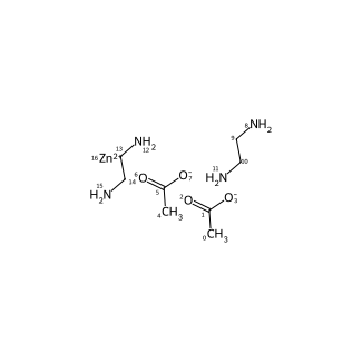 CC(=O)[O-].CC(=O)[O-].NCCN.NCCN.[Zn+2]